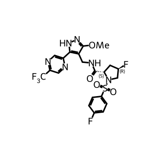 COc1n[nH]c(-c2cnc(C(F)(F)F)cn2)c1CNC(=O)[C@@H]1C[C@@H](F)CN1S(=O)(=O)c1ccc(F)cc1